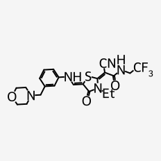 CCn1c(=C(C#N)C(=O)NCC(F)(F)F)sc(=CNc2cccc(CN3CCOCC3)c2)c1=O